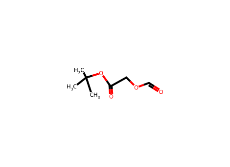 CC(C)(C)OC(=O)COC=O